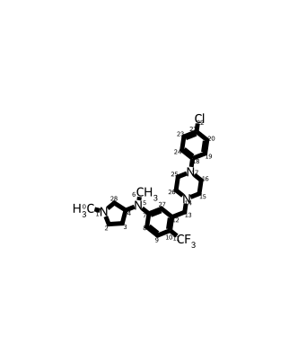 CN1CCC(N(C)c2ccc(C(F)(F)F)c(CN3CCN(c4ccc(Cl)cc4)CC3)c2)C1